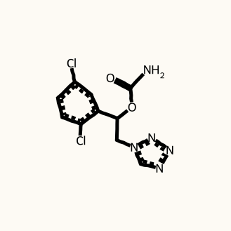 NC(=O)OC(Cn1cnnn1)c1cc(Cl)ccc1Cl